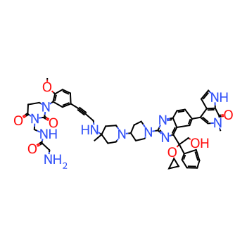 COc1ccc(C#CCNC2(C)CCN(C3CCN(c4nc(C(CO)(OC5CC5)c5ccccc5)c5cc(-c6cn(C)c(=O)c7[nH]ccc67)ccc5n4)CC3)CC2)cc1N1CCC(=O)N(CNC(=O)CN)C1=O